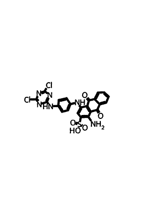 Nc1c(S(=O)(=O)O)cc(Nc2ccc(Nc3nc(Cl)nc(Cl)n3)cc2)c2c1C(=O)c1ccccc1C2=O